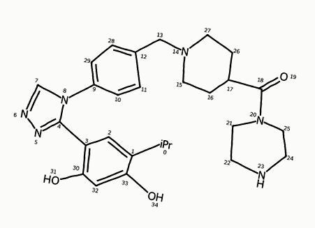 CC(C)c1cc(-c2nncn2-c2ccc(CN3CCC(C(=O)N4CCNCC4)CC3)cc2)c(O)cc1O